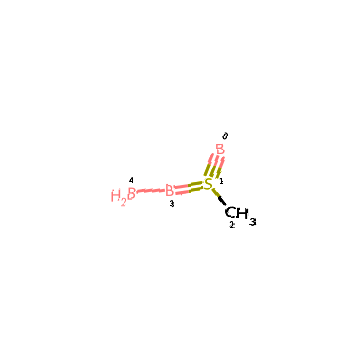 B#S(C)=BB